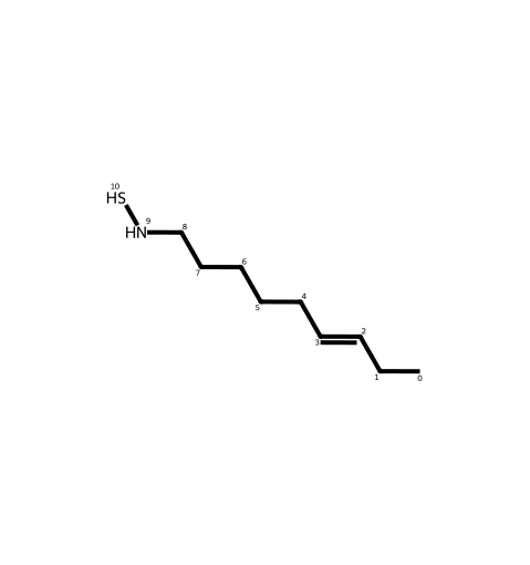 CCC=CCCCCCNS